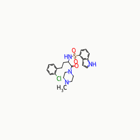 CN1CCN(C(=O)C(CCc2ccccc2Cl)NS(=O)(=O)c2cccc3[nH]ccc23)CC1